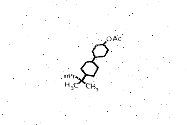 CCCC(C)(C)C1CCC(C2CCC(OC(C)=O)CC2)CC1